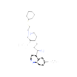 COc1ccc2nccc(C(N)CC[C@@H]3CCN(CCSC4CCCCC4)C[C@@H]3C(=O)O)c2c1